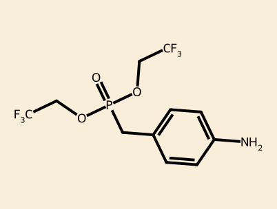 Nc1ccc(CP(=O)(OCC(F)(F)F)OCC(F)(F)F)cc1